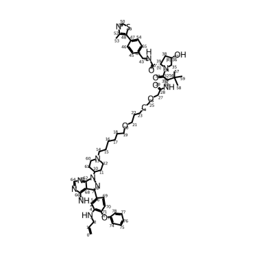 C=CCNc1cc(-c2nn(C3CCN(CCCCCCOCCCCCOCC(=O)N[C@H](C(=O)N4C[C@H](O)C[C@H]4C(=O)NCc4ccc(-c5scnc5C)cc4)C(C)(C)C)CC3)c3ncnc(N)c23)ccc1Oc1ccccc1